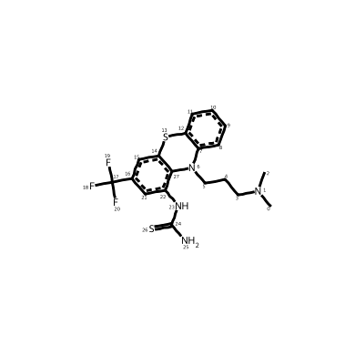 CN(C)CCCN1c2ccccc2Sc2cc(C(F)(F)F)cc(NC(N)=S)c21